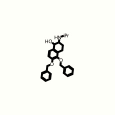 CC(C)NC1CCc2c(ccc(OCc3ccccc3)c2OCc2ccccc2)C1O